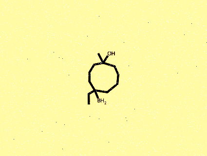 BC1(CC)CCCCC(C)(O)CCC1